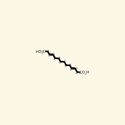 O=C(O)CC=CCCCCCCC=CCC(=O)O